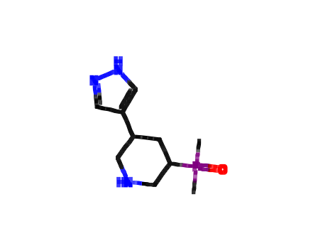 CP(C)(=O)C1CNCC(c2cn[nH]c2)C1